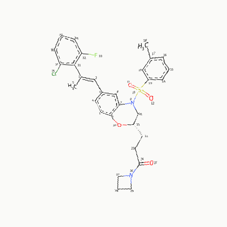 C/C(=C\c1ccc2c(c1)N(S(=O)(=O)c1cccc(C)c1)C[C@H](CCC(=O)N1CCC1)O2)c1c(F)cccc1Cl